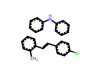 Cc1ccccc1C=Cc1ccc(Cl)cc1.c1ccc(Nc2ccccc2)cc1